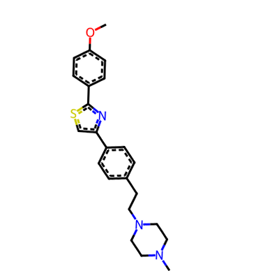 COc1ccc(-c2nc(-c3ccc(CCN4CCN(C)CC4)cc3)cs2)cc1